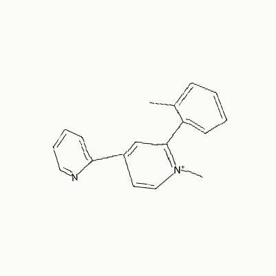 Cc1ccccc1-c1cc(-c2ccccn2)cc[n+]1C